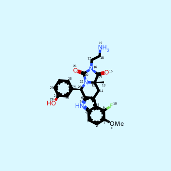 COc1ccc2[nH]c3c(c2c1F)C[C@@]1(C)C(=O)N(CCN)C(=O)N1[C@@H]3c1cccc(O)c1